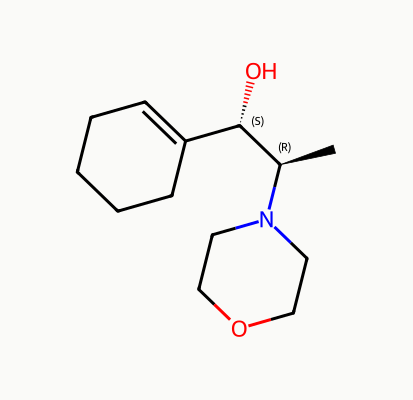 C[C@H]([C@@H](O)C1=CCCCC1)N1CCOCC1